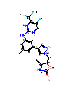 Cc1cc(Nc2ncc(F)c(C(F)F)n2)cc(-c2cnn(CC3OC(=O)NC3C)c2)c1